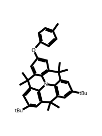 Cc1ccc(Oc2cc3c4c(c2)C(C)(C)c2cc(C(C)(C)C)cc5c2N4c2c(cc(C(C)(C)C)cc2C5(C)C)C3(C)C)cc1